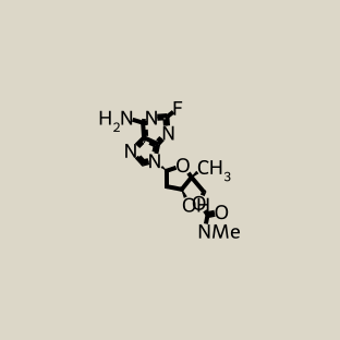 CNC(=O)OC[C@@]1(C)O[C@@H](n2cnc3c(N)nc(F)nc32)C[C@@H]1O